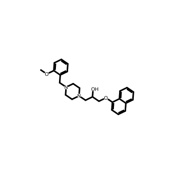 COc1ccccc1CN1CCN(CC(O)COc2cccc3ccccc23)CC1